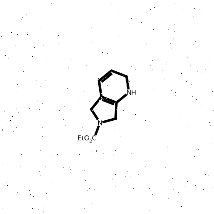 CCOC(=O)N1CC2=C(C1)NCC=C2